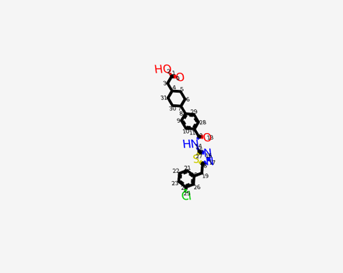 O=C(O)CC1CCC(c2ccc(C(=O)Nc3nnc(Cc4cccc(Cl)c4)s3)cc2)CC1